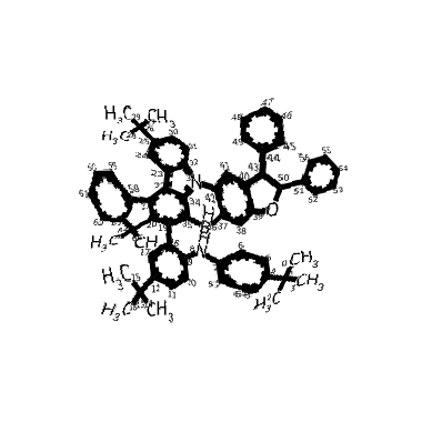 CC(C)(C)c1ccc(Nc2ccc(C(C)(C)C)cc2-c2c3c(c4c5cc(C(C)(C)C)ccc5n5c4c2Bc2cc4c(cc2-5)C(c2ccccc2)C(c2ccccc2)O4)-c2ccccc2C3(C)C)cc1